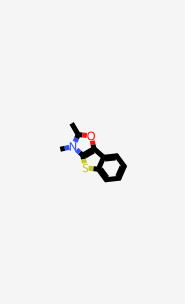 CC1Oc2c(sc3ccccc23)N1C